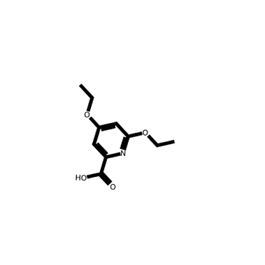 CCOc1cc(OCC)nc(C(=O)O)c1